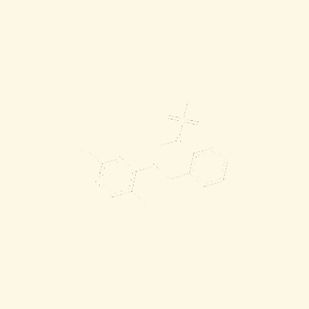 CN(c1ccccc1CNc1nc(Cl)ncc1Cl)S(C)(=O)=O